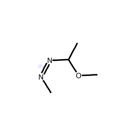 C/N=N\C(C)OC